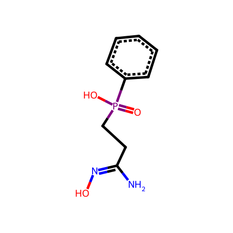 NC(CCP(=O)(O)c1ccccc1)=NO